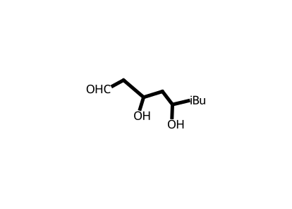 CCC(C)C(O)CC(O)CC=O